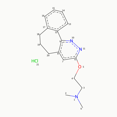 CN(C)CCOc1cc2c(nn1)-c1ccccc1CCC2.Cl